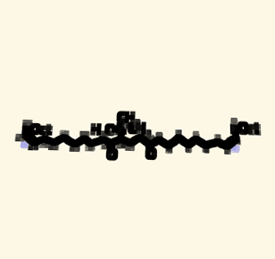 CCCCCCCC/C=C\CCCCCCCC(=O)CCC(C(=O)CCCCCCC/C=C\CCCCCCCC)[N+](C)(C)C